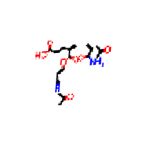 C=C(C=CC(=O)O)C(=O)OCCC#N.C=CC(N)=O.CC(C)=O.CC(C)=O